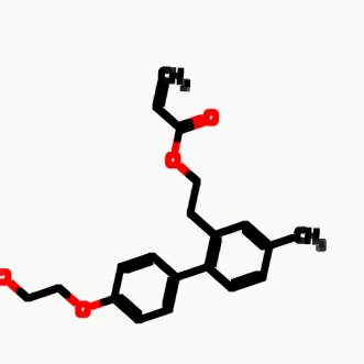 C=CC(=O)OCCc1cc(C)ccc1-c1ccc(OCCO)cc1